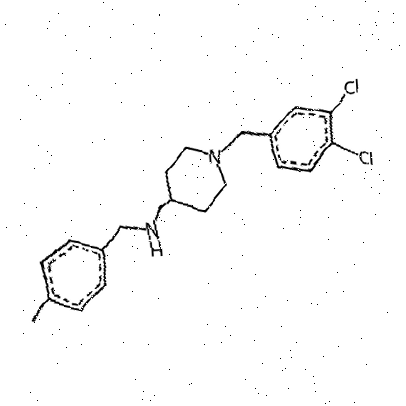 Cc1ccc(CNC2CCN(Cc3ccc(Cl)c(Cl)c3)CC2)cc1